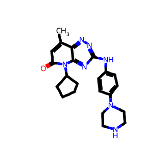 Cc1cc(=O)n(C2CCCC2)c2nc(Nc3ccc(N4CCNCC4)cc3)nnc12